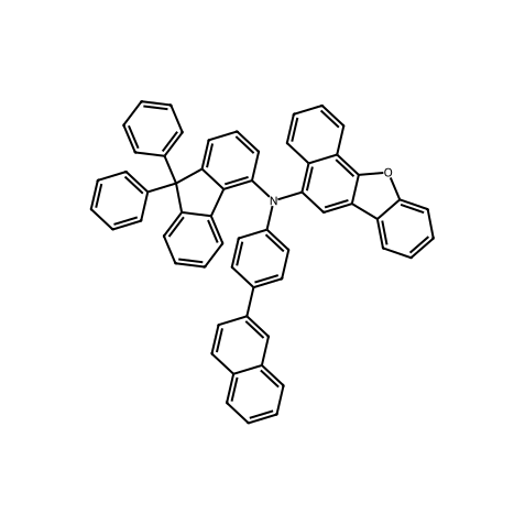 c1ccc(C2(c3ccccc3)c3ccccc3-c3c(N(c4ccc(-c5ccc6ccccc6c5)cc4)c4cc5c6ccccc6oc5c5ccccc45)cccc32)cc1